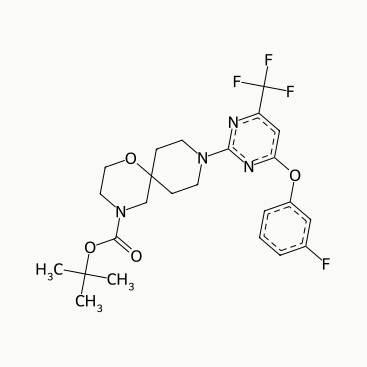 CC(C)(C)OC(=O)N1CCOC2(CCN(c3nc(Oc4cccc(F)c4)cc(C(F)(F)F)n3)CC2)C1